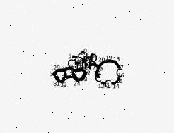 C[SiH](C)[Hf]([Cl])([Cl])([NH]C(=O)C1CCCCCCCCCCC1)[c]1cccc2c1Cc1ccccc1-2